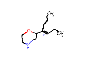 CC/C=C(\CCC)C1CNCCO1